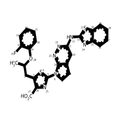 CC(Cc1sc(-n2ccc3cc(Nc4nc5ccccc5s4)nnc32)nc1C(=O)O)Oc1ccccc1F